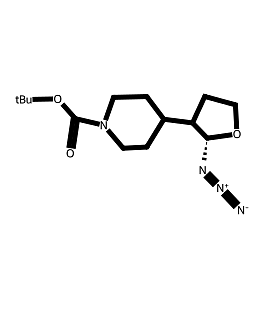 CC(C)(C)OC(=O)N1CCC(C2CCO[C@@H]2N=[N+]=[N-])CC1